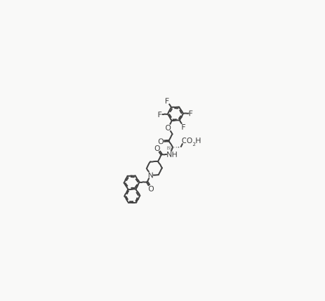 O=C(O)C[C@H](NC(=O)C1CCN(C(=O)c2cccc3ccccc23)CC1)C(=O)COc1c(F)c(F)cc(F)c1F